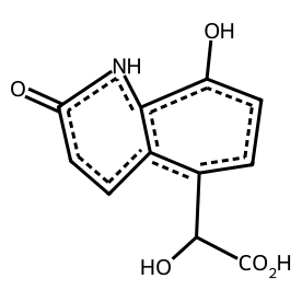 O=C(O)C(O)c1ccc(O)c2[nH]c(=O)ccc12